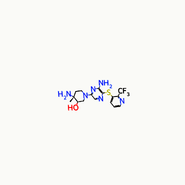 C[C@@]1(N)CCN(c2cnc(Sc3cccnc3C(F)(F)F)c(N)n2)C[C@H]1O